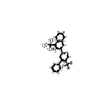 CC(C)(C)c1cc(-c2cc(-c3ccccc3)c(C(F)(F)F)cn2)cc2ccccc12